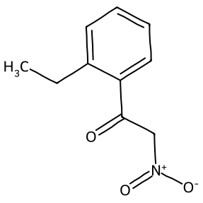 CCc1ccccc1C(=O)C[N+](=O)[O-]